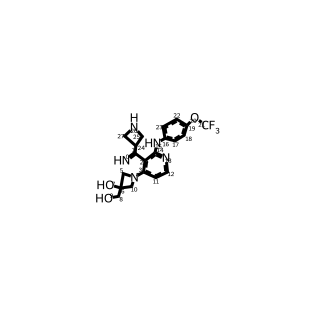 N=C(c1c(N2CC(O)(CO)C2)ccnc1Nc1ccc(OC(F)(F)F)cc1)C1CNC1